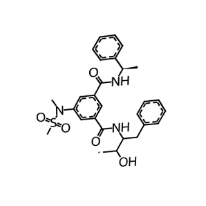 [CH2]C(O)C(Cc1ccccc1)NC(=O)c1cc(C(=O)N[C@H](C)c2ccccc2)cc(N(C)S(C)(=O)=O)c1